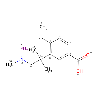 CCc1ccc(C(=O)O)cc1C(C)(C)CN(C)P